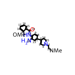 CNCCN1CC=C(c2ccc(NC(=O)c3ccccc3OC)c(N)c2)CC1